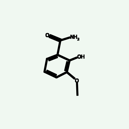 COc1cccc(C(N)=O)c1O